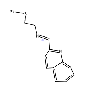 CCSCC/N=C/c1ccc2ccccc2n1